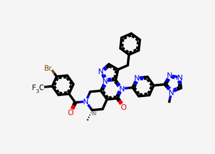 C[C@H]1Cc2c(n3ncc(Cc4ccccc4)c3n(-c3ccc(-c4nncn4C)cn3)c2=O)CN1C(=O)c1ccc(Br)c(C(F)(F)F)c1